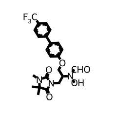 CN1C(=O)N(CC(COc2ccc(-c3ccc(C(F)(F)F)cc3)cc2)N(O)C=O)C(=O)C1(C)C